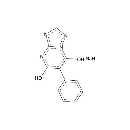 Oc1nc2ncnn2c(O)c1-c1ccccc1.[NaH]